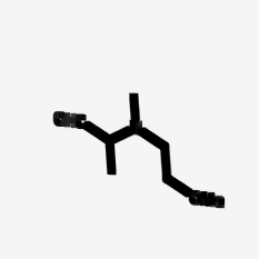 COCCN(C)C(C)C=O